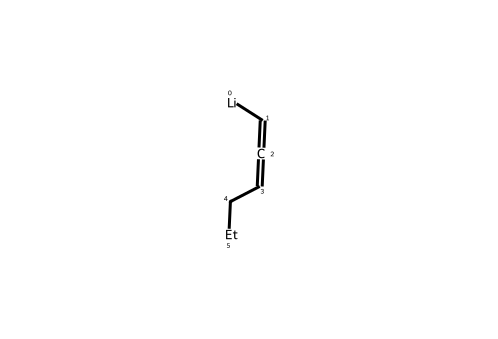 [Li][CH]=C=CCCC